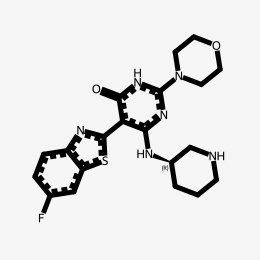 O=c1[nH]c(N2CCOCC2)nc(N[C@@H]2CCCNC2)c1-c1nc2ccc(F)cc2s1